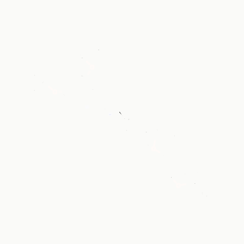 C=C1/C(=C\C=C2/CCC[C@]3(C)[C@@H]([C@H](C)OCCC(C)(C)O[Si](C)(C)C)CC[C@@H]23)C[C@H](O[Si](C)(C)C(C)(C)C)C[C@@H]1O[Si](C)(C)C(C)(C)C